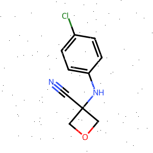 N#CC1(Nc2ccc(Cl)cc2)COC1